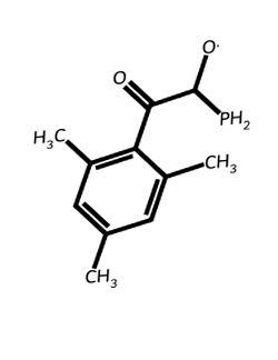 Cc1cc(C)c(C(=O)C([O])P)c(C)c1